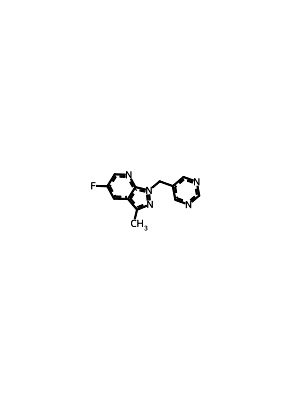 Cc1nn(Cc2cncnc2)c2ncc(F)cc12